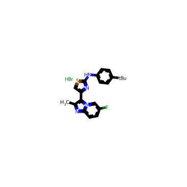 Br.Cc1nc2ccc(F)cn2c1-c1csc(Nc2ccc(C(C)(C)C)cc2)n1